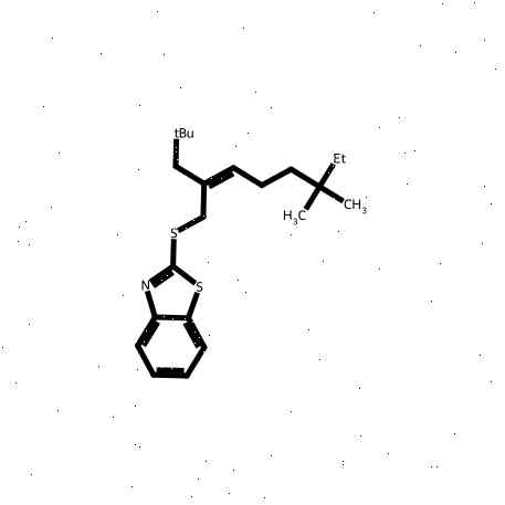 CCC(C)(C)CC/C=C(\CSc1nc2ccccc2s1)CC(C)(C)C